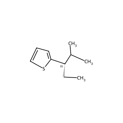 CC[C@H](c1cccs1)C(C)C